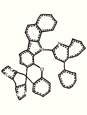 c1ccc(-c2cc(-n3c4c5c(ccc4c4ccc6ccccc6c43)C3(c4ccccc4O5)c4ccccc4-c4ccccc43)nc3ccccc23)cc1